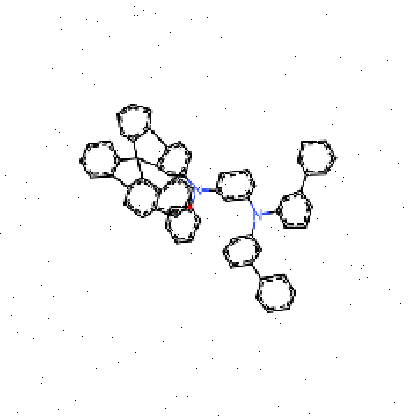 c1ccc(-c2cccc(N(c3cccc(-c4ccccc4)c3)c3cccc(N(c4ccccc4)c4ccc5c(c4)C4(c6ccccc6-5)c5ccccc5-c5ccc6ccccc6c54)c3)c2)cc1